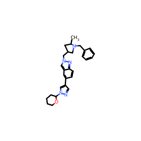 CC1CC(Cn2cc3cc(-c4cnn(C5CCCCO5)c4)ccc3n2)CN1Cc1ccccc1